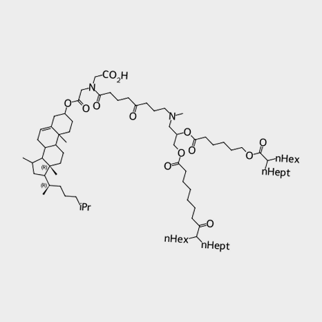 CCCCCCCC(CCCCCC)C(=O)CCCCCCC(=O)OCC(CN(C)CCCC(=O)CCCC(=O)N(CC(=O)O)CC(=O)OC1CCC2(C)C(=CCC3C2CC[C@@]2(C)C3C(C)CC2[C@H](C)CCCC(C)C)C1)OC(=O)CCCCCOC(=O)C(CCCCCC)CCCCCCC